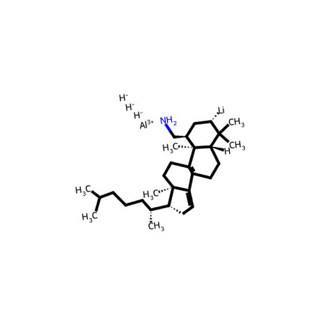 [Al+3].[H-].[H-].[H-].[Li][C@H]1C[C@H](CN)[C@]2(C)C3=C(CC[C@H]2C1(C)C)C1=CC[C@H]([C@H](C)CCCC(C)C)[C@@]1(C)CC3